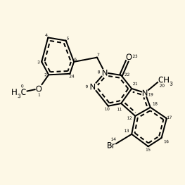 COc1cccc(Cn2ncc3c4c(Br)cccc4n(C)c3c2=O)c1